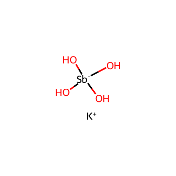 [K+].[OH][Sb-]([OH])([OH])[OH]